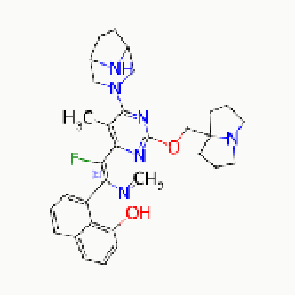 C=N/C(=C(/F)c1nc(OCC23CCCN2CCC3)nc(N2CC3CCC(C2)N3)c1C)c1cccc2cccc(O)c12